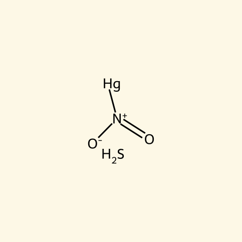 O=[N+]([O-])[Hg].S